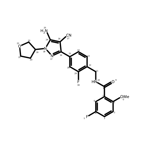 COc1ccc(F)cc1C(=O)NCc1ccc(-c2nn(C3CCOC3)c(N)c2C#N)cc1F